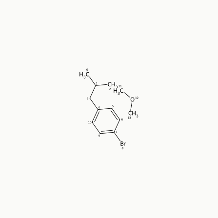 CC(C)Cc1ccc(Br)cc1.COC